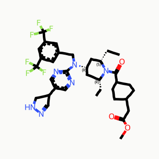 CC[C@@H]1C[C@H](N(Cc2cc(C(F)(F)F)cc(C(F)(F)F)c2)c2ncc(C3C=NNC3)cn2)C[C@H](CC)N1C(=O)C1CCC(CC(=O)OC)CC1